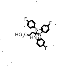 O=C(O)CCC(Nc1ccc(F)cc1)(Nc1ccc(F)cc1)Nc1ccc(F)cc1